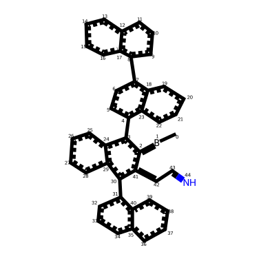 C/B=c1/c(-c2ccc(-c3cccc4ccccc34)c3ccccc23)c2ccccc2c(-c2cccc3ccccc23)/c1=C/C=N